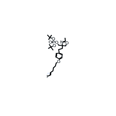 CC1=NC(CCc2ccc(OCCCC/C=C/I)cc2)(COP(=O)(OC(C)(C)C)OC(C)(C)C)CO1